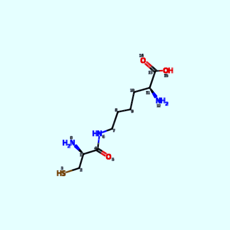 N[C@H](CS)C(=O)NCCCC[C@H](N)C(=O)O